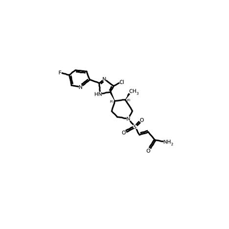 C[C@H]1CN(S(=O)(=O)C=CC(N)=O)CC[C@H]1c1[nH]c(-c2ccc(F)cn2)nc1Cl